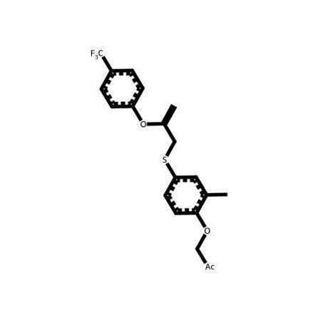 C=C(CSc1ccc(OCC(C)=O)c(C)c1)Oc1ccc(C(F)(F)F)cc1